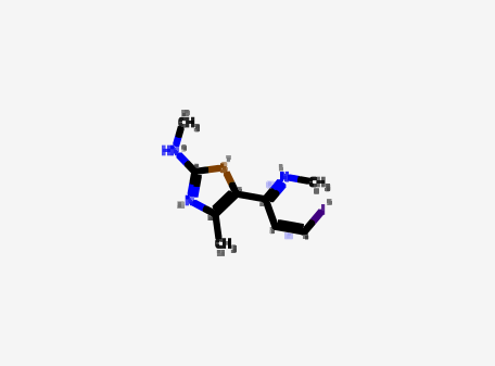 C/N=C(\C=C/I)c1sc(NC)nc1C